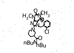 CCCCN(CCCC)C(=O)C1CCCN(c2nc3c(c(=O)n(C)c(=O)n3C)n2Cc2c(F)cccc2Cl)C1